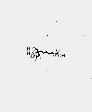 CCC(CC)(CCCCCOC(=O)O)[SiH2]C